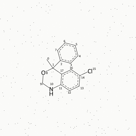 CC1(c2ccccc2)O[CH]Nc2ccc(Cl)cc21